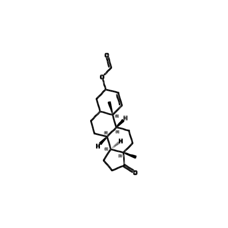 C[C@]12C=CC(OC=O)CC1CC[C@@H]1[C@H]2CC[C@]2(C)C(=O)CC[C@@H]12